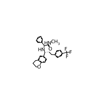 CNC(=O)[C@@H](N[C@H](CCc1ccc(C(F)(F)F)cc1)c1ccc2c(c1)CCCO2)c1ccccc1